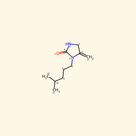 C=C1CNC(=O)N1CCCC(C)C